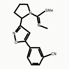 CN=C(SC)N1CCCC1c1cc(-c2cccc(C#N)c2)on1